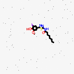 CCCCCCCC(=O)Nc1nnc(-c2cc(I)c(O)c(OC)c2)s1